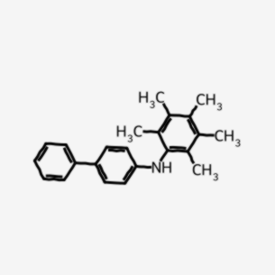 Cc1c(C)c(C)c(Nc2ccc(-c3ccccc3)cc2)c(C)c1C